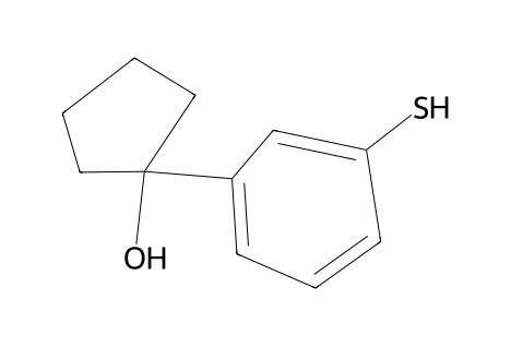 OC1(c2cccc(S)c2)CCCC1